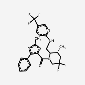 Cc1nc(-c2ccccc2)c(C(=O)N2CC(F)(F)C[C@@H](C)C2CNc2ncc(C(F)(F)F)cn2)s1